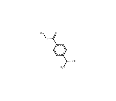 CC(C)(C)OC(=O)c1ccc(C(N)O)cc1